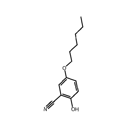 CCCCCCOc1ccc(O)c(C#N)c1